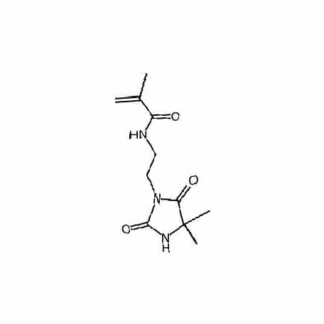 C=C(C)C(=O)NCCN1C(=O)NC(C)(C)C1=O